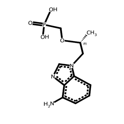 C[C@H](Cn1cnc2c(N)cccc21)OCP(=O)(O)O